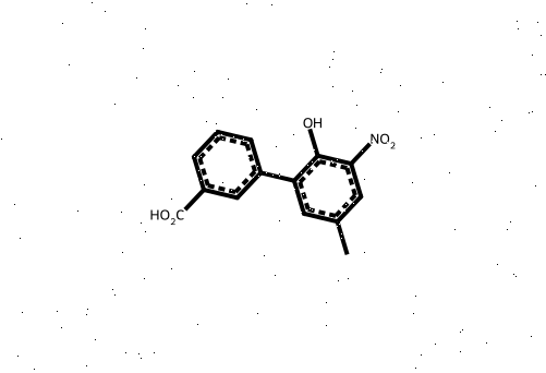 Cc1cc(-c2cccc(C(=O)O)c2)c(O)c([N+](=O)[O-])c1